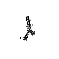 O=C(NCC(=O)N1C[C@H](OC(F)F)CC1C(=O)NCc1ccc2nc[nH]c2c1)c1ccc2c(c1)Oc1ccccc1S2